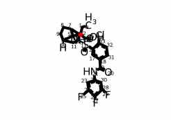 CCC(CO)[C@@]1(O)C2CC[C@H]1C[C@H](S(=O)(=O)c1cc(C(=O)Nc3cc(F)c(F)c(F)c3)ccc1Cl)C2